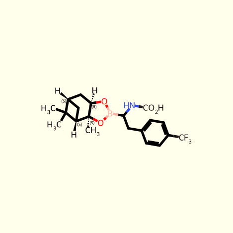 CC1(C)[C@@H]2C[C@H]3OB(C(Cc4ccc(C(F)(F)F)cc4)NC(=O)O)O[C@@]3(C)[C@H]1C2